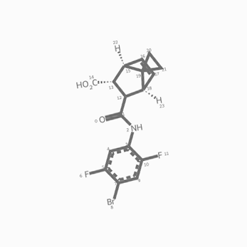 O=C(Nc1cc(F)c(Br)cc1F)C1[C@H](C(=O)O)[C@H]2C=C[C@@H]1C21CC1